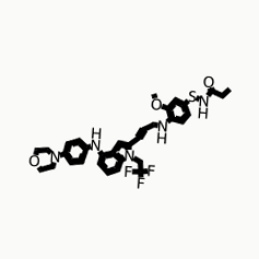 CCC(=O)NSc1ccc(NCC#Cc2cc3c(Nc4ccc(N5CCOCC5)cc4)cccc3n2CC(F)(F)F)c(OC)c1